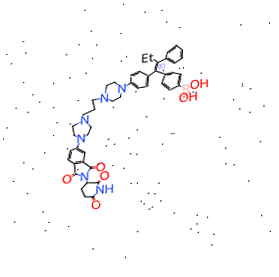 CC/C(=C(/c1ccc(B(O)O)cc1)c1ccc(N2CCN(CCCN3CCN(c4ccc5c(c4)C(=O)N(C4CCC(=O)NC4=O)C5=O)CC3)CC2)cc1)c1ccccc1